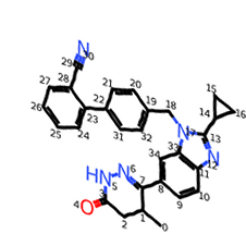 CC1CC(=O)NN=C1c1ccc2nc(C3CC3)n(Cc3ccc(-c4ccccc4C#N)cc3)c2c1